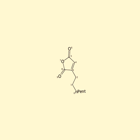 CCCCCCCC1=CC(=O)OC1=O